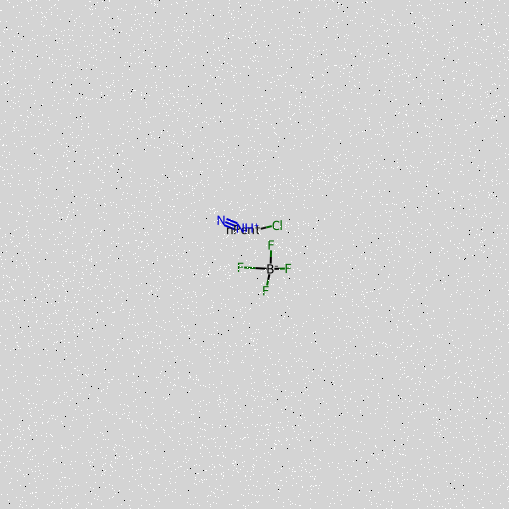 CCCCCCl.F[B-](F)(F)F.N#[NH+]